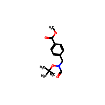 COC(=O)c1ccc(CN(C=O)OC(C)(C)C)cc1